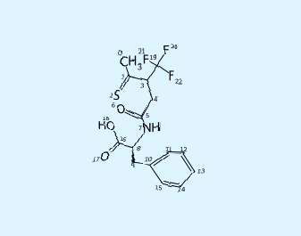 CC(=S)C(CC(=O)N[C@@H](Cc1ccccc1)C(=O)O)C(F)(F)F